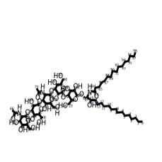 CCCCCCCCCCCCC/C=C/[C@@H](O)[C@H](CO[C@@H]1OC(CO)[C@@H](O[C@@H]2OC(CO)[C@H](O)[C@H](O[C@@H]3OC(CO)[C@@H](O)[C@H](O[C@@H]4OC(CO)[C@H](O)[C@H](O[C@@H]5OC(CO)[C@@H](O)[C@H](O)C5NC(C)=O)C4O)C3NC(C)=O)C2O)[C@H](O)C1O)NC(=O)CCCCCCCCCCCCCCC